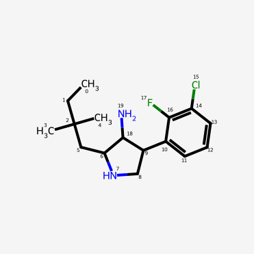 CCC(C)(C)CC1NCC(c2cccc(Cl)c2F)C1N